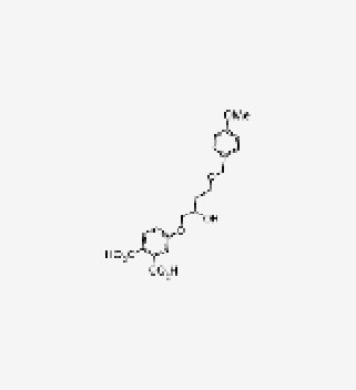 COc1ccc(COCCC(O)COc2ccc(C(=O)O)c(C(=O)O)c2)cc1